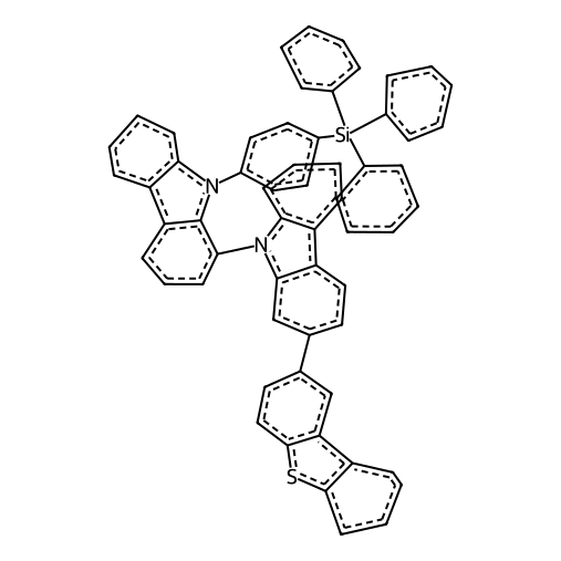 c1ccc([Si](c2ccccc2)(c2ccccc2)c2ccc(-n3c4ccccc4c4cccc(-n5c6ccccc6c6ccc(-c7ccc8sc9ccccc9c8c7)cc65)c43)cc2)cc1